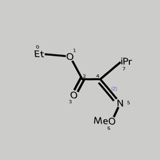 CCOC(=O)/C(=N\OC)C(C)C